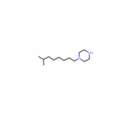 CC(C)[CH]CCCCCN1CCNCC1